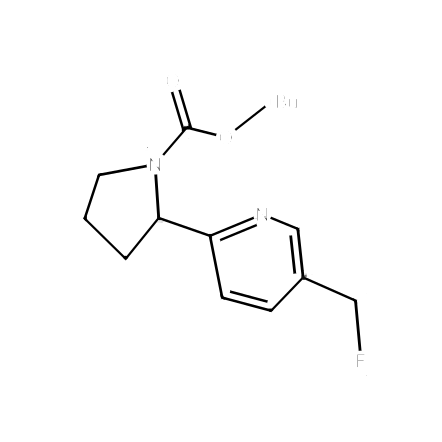 CC(C)(C)OC(=O)N1CCCC1c1ccc(CF)cn1